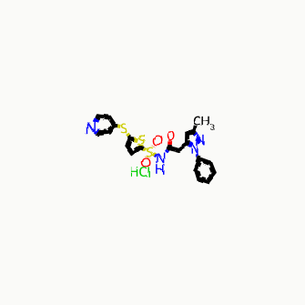 Cc1cc(CC(=O)NS(=O)(=O)c2ccc(Sc3ccncc3)s2)n(-c2ccccc2)n1.Cl